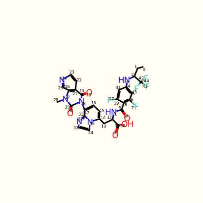 CCC(Nc1cc(F)c(C(=O)NC(Cc2ccc(-n3c(=O)c4ccncc4n(C)c3=O)c3nccn23)C(=O)O)c(F)c1)C(F)(F)F